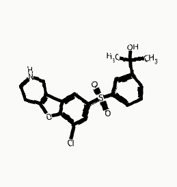 CC(C)(O)c1cccc(S(=O)(=O)c2cc(Cl)c3oc4c(c3c2)CNCC4)c1